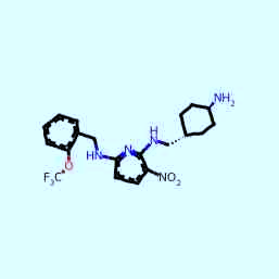 N[C@H]1CC[C@H](CNc2nc(NCc3ccccc3OC(F)(F)F)ccc2[N+](=O)[O-])CC1